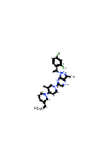 CC1CN(c2cnc3c(C#N)nn(C(C)c4ccc(Cl)cc4Cl)c3n2)CCC1N1CCCC(CC(=O)O)C1